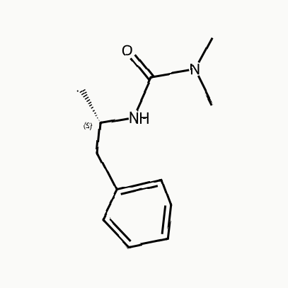 [CH2][C@@H](Cc1ccccc1)NC(=O)N(C)C